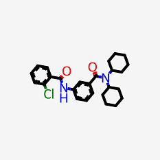 O=C(Nc1cccc(C(=O)N(C2CCCCC2)C2CCCCC2)c1)c1ccccc1Cl